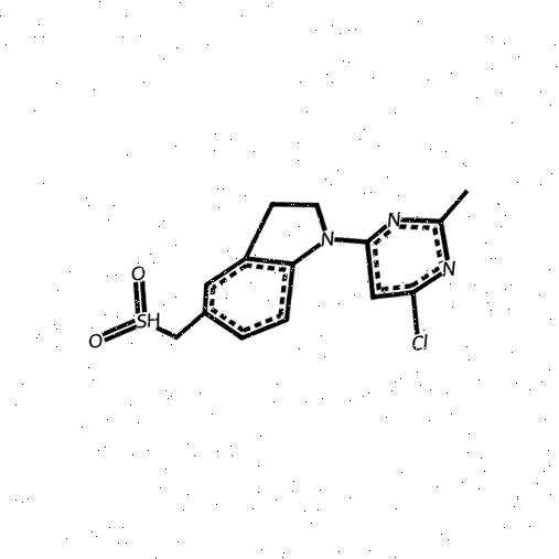 Cc1nc(Cl)cc(N2CCc3cc(C[SH](=O)=O)ccc32)n1